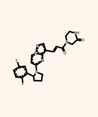 O=C1CN(C(=O)C=Cc2cnn3ccc(N4CCCC4c4cc(F)ccc4F)nc23)CCN1